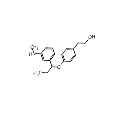 CCC(Oc1ccc(CCO)cc1)c1cccc(NC)c1